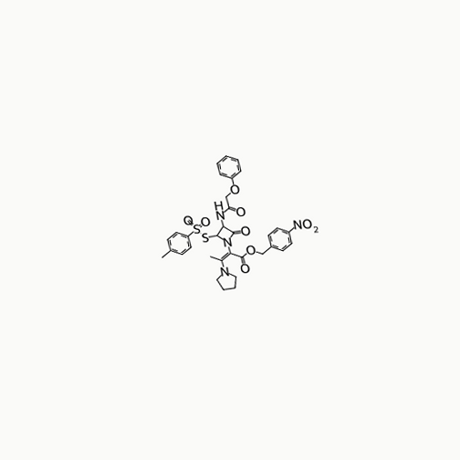 CC(=C(C(=O)OCc1ccc([N+](=O)[O-])cc1)N1C(=O)C(NC(=O)COc2ccccc2)C1SS(=O)(=O)c1ccc(C)cc1)N1CCCC1